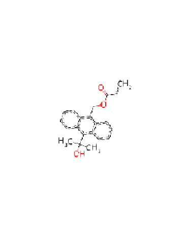 C=CC(=O)OCc1c2ccccc2c(C(C)(C)O)c2ccccc12